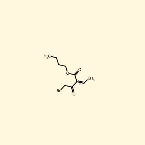 C/C=C(/C(=O)CBr)C(=O)OCCCC